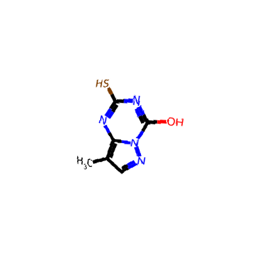 Cc1cnn2c(O)nc(S)nc12